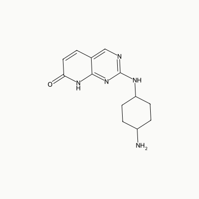 NC1CCC(Nc2ncc3ccc(=O)[nH]c3n2)CC1